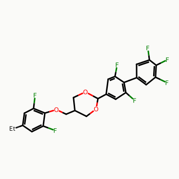 CCc1cc(F)c(OCC2COC(c3cc(F)c(-c4cc(F)c(F)c(F)c4)c(F)c3)OC2)c(F)c1